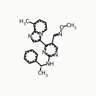 CON=Cc1cnc(N[C@@H](C)c2ccccc2)nc1-c1cnc2c(C)cccn12